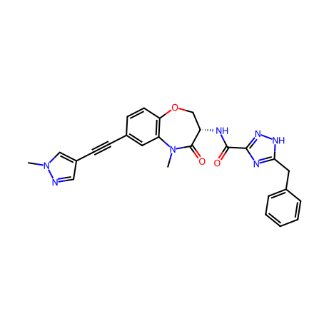 CN1C(=O)[C@@H](NC(=O)c2n[nH]c(Cc3ccccc3)n2)COc2ccc(C#Cc3cnn(C)c3)cc21